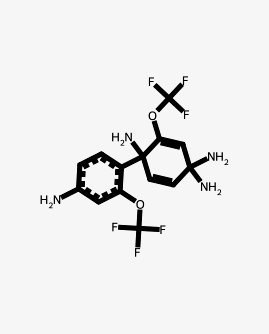 Nc1ccc(C2(N)C=CC(N)(N)C=C2OC(F)(F)F)c(OC(F)(F)F)c1